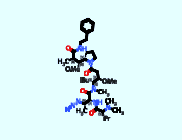 CC[C@H](C)[C@@H]([C@@H](CC(=O)N1CCC[C@H]1[C@H](OC)[C@@H](C)C(=O)NCCc1ccccc1)OC)N(C)C(=O)[C@H](NC(=O)[C@H](C(C)C)N(C)C)[C@H](C)N=[N+]=[N-]